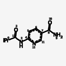 CC(C)C(=O)Nc1ccc(C(N)=O)cn1